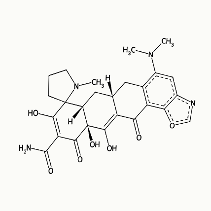 CN(C)c1cc2ncoc2c2c1C[C@H]1C[C@H]3C4(CCCN4C)C(O)=C(C(N)=O)C(=O)[C@@]3(O)C(O)=C1C2=O